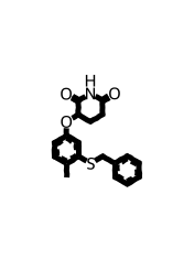 Cc1ccc(OC2CCC(=O)NC2=O)cc1SCc1ccccc1